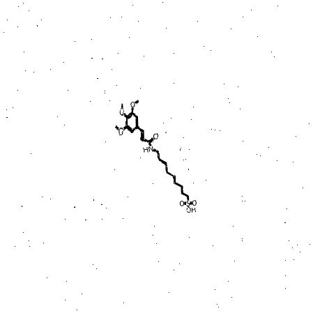 COc1cc(C=CC(=O)NCCCCCCCCCS(=O)(=O)O)cc(OC)c1OC